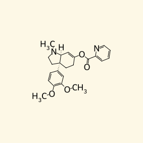 COc1ccc([C@@]23CCC(OC(=O)c4ccccn4)=C[C@@H]2N(C)CC3)cc1OC